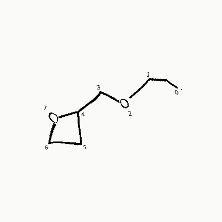 [CH2]COCC1CCO1